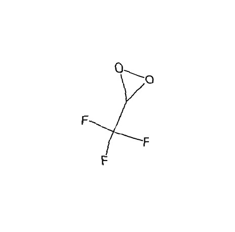 FC(F)(F)C1OO1